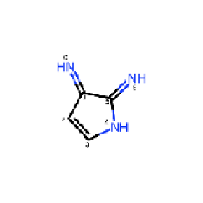 N=C1C=CNC1=N